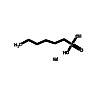 CCCCCCP(=O)(O)O.[Nd]